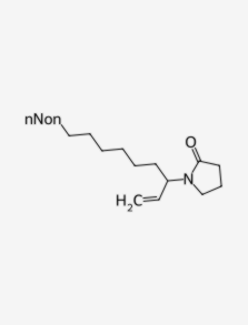 C=CC(CCCCCCCCCCCCCCC)N1CCCC1=O